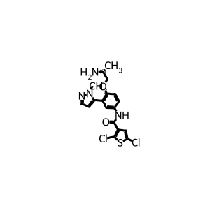 C[C@H](N)COc1ccc(NC(=O)c2cc(Cl)sc2Cl)cc1-c1ccnn1C